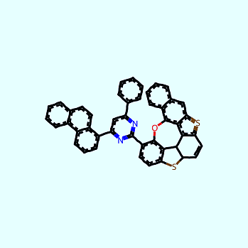 C1=CC2Sc3ccc(-c4nc(-c5ccccc5)cc(-c5cccc6c5ccc5ccccc56)n4)c4c3C2c2c1sc1cc3ccccc3c(c21)O4